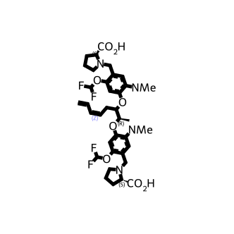 C=C/C=C\CC(Oc1cc(OC(F)F)c(CN2CCC[C@H]2C(=O)O)cc1NC)[C@@H](C)Oc1cc(OC(F)F)c(CN2CCC[C@H]2C(=O)O)cc1NC